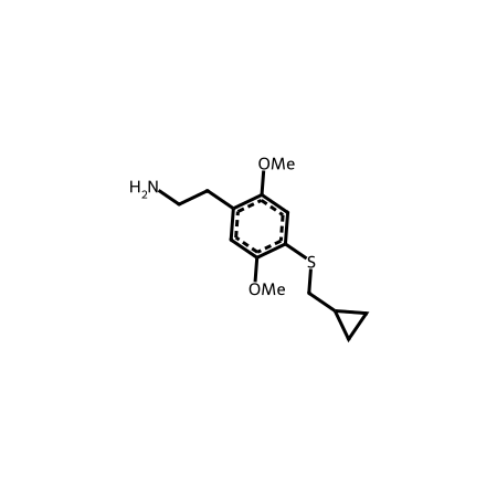 COc1cc(SCC2CC2)c(OC)cc1CCN